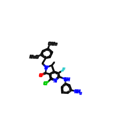 COc1ccc(CN2C(=O)c3c(Cl)nc(Nc4cccc(N)c4)c(F)c3C2C)c(OC)c1